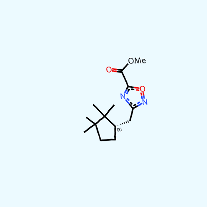 COC(=O)c1nc(C[C@@H]2CCC(C)(C)C2(C)C)no1